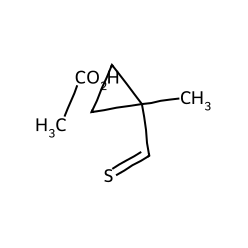 CC(=O)O.CC1(C=S)CC1